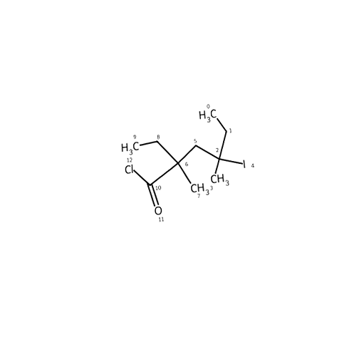 CCC(C)(I)CC(C)(CC)C(=O)Cl